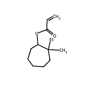 C=CC(=O)OC1CCCCCC1(C)CC